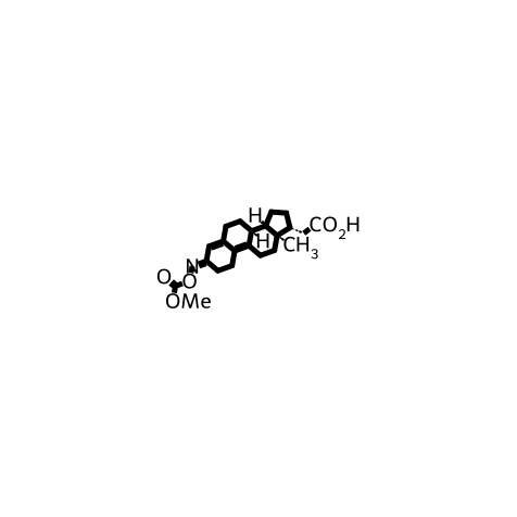 COC(=O)O/N=C1/C=C2CC[C@@H]3C(=C2CC1)CC[C@]1(C)[C@@H](CC(=O)O)CC[C@@H]31